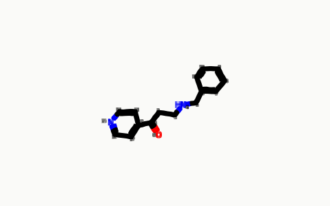 O=C(CCNCc1ccccc1)c1ccncc1